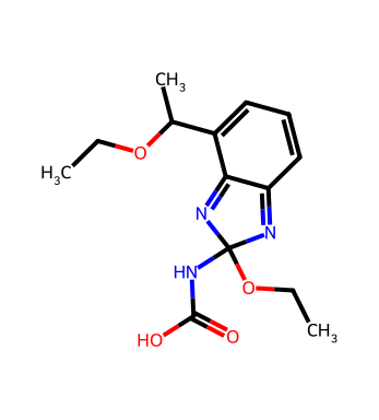 CCOC(C)c1cccc2c1=NC(NC(=O)O)(OCC)N=2